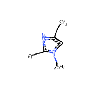 [CH2]n1cc(C)nc1CC